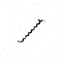 NCCSCCCCCCCCCCC(N)=O